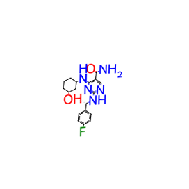 C[C@H](Nc1ncc(C(N)=O)c(NC2CCC[C@H](O)C2)n1)c1ccc(F)cc1